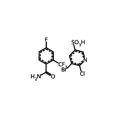 NC(=O)c1ccc(F)cc1C(F)(F)F.O=S(=O)(O)c1cnc(Cl)c(Br)c1